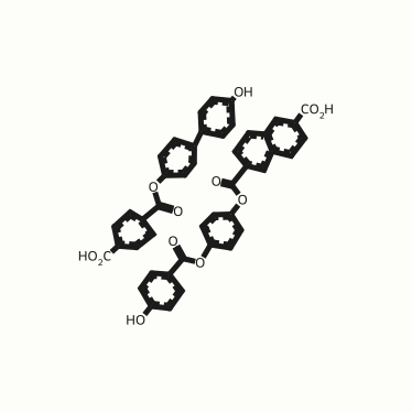 O=C(O)c1ccc(C(=O)Oc2ccc(-c3ccc(O)cc3)cc2)cc1.O=C(O)c1ccc2cc(C(=O)Oc3ccc(OC(=O)c4ccc(O)cc4)cc3)ccc2c1